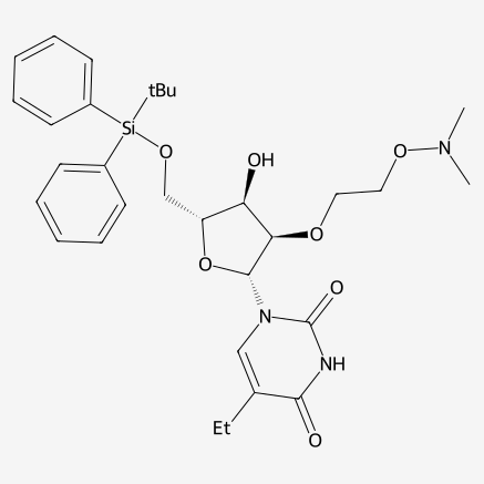 CCc1cn([C@@H]2O[C@H](CO[Si](c3ccccc3)(c3ccccc3)C(C)(C)C)[C@@H](O)[C@H]2OCCON(C)C)c(=O)[nH]c1=O